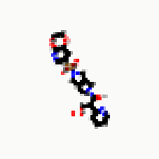 O=C(C(CO)c1ccccn1)N1CC2=C(C1)CN(S(=O)(=O)c1cnc3c(c1)OCCO3)C2